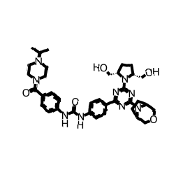 CC(C)N1CCN(C(=O)c2ccc(NC(=O)Nc3ccc(-c4nc(N5C6CCC5COC6)nc(N5[C@H](CO)CC[C@@H]5CO)n4)cc3)cc2)CC1